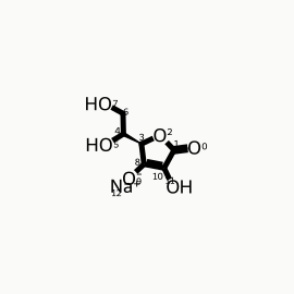 O=C1O[C@H](C(O)CO)C([O-])=C1O.[Na+]